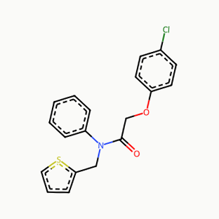 O=C(COc1ccc(Cl)cc1)N(Cc1cccs1)c1ccccc1